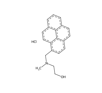 CN(CCO)Cc1ccc2ccc3cccc4ccc1c2c34.Cl